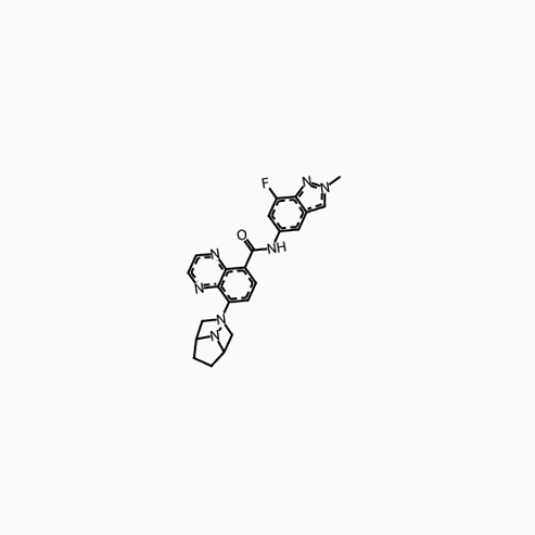 CN1C2CCC1CN(c1ccc(C(=O)Nc3cc(F)c4nn(C)cc4c3)c3nccnc13)C2